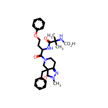 CN1N=C2CCN(C(=O)C(CCOc3ccccc3)NC(=O)C(C)(C)NC(=O)O)CC2(Cc2ccccc2)C1=O